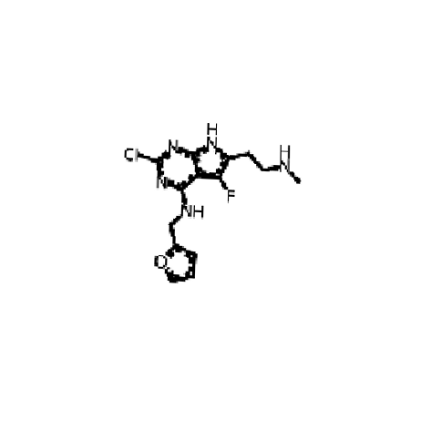 CNCCc1[nH]c2nc(Cl)nc(NCc3ccco3)c2c1F